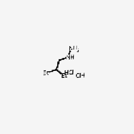 CCC(CC)CNN.Cl.Cl